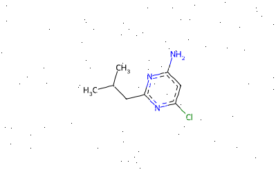 CC(C)Cc1nc(N)cc(Cl)n1